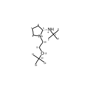 CC(C)(C)N[C@H]1CCCN1CCOC(C)(C)C